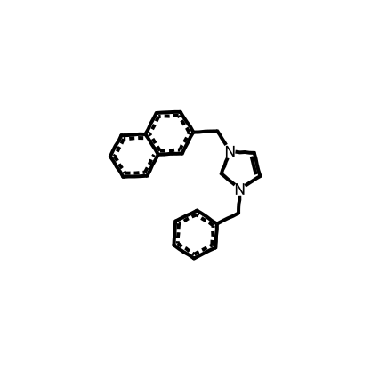 C1=CN(Cc2ccc3ccccc3c2)CN1Cc1ccccc1